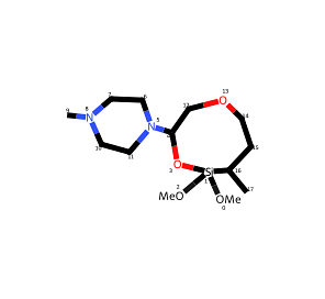 CO[Si]1(OC)OC(N2CCN(C)CC2)COCCC1C